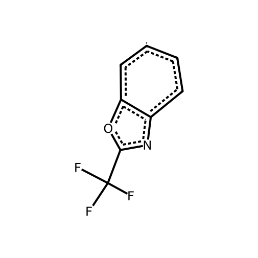 FC(F)(F)c1nc2cc[c]cc2o1